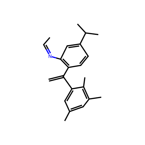 C=C(c1ccc(C(C)C)cc1/N=C\C)c1cc(C)cc(C)c1C